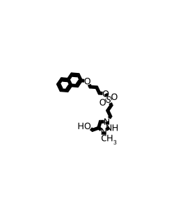 CN1NN(CCCS(=O)(=O)OCCCOc2ccc3ccccc3c2)CC1CO